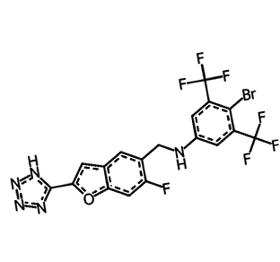 Fc1cc2oc(-c3nnn[nH]3)cc2cc1CNc1cc(C(F)(F)F)c(Br)c(C(F)(F)F)c1